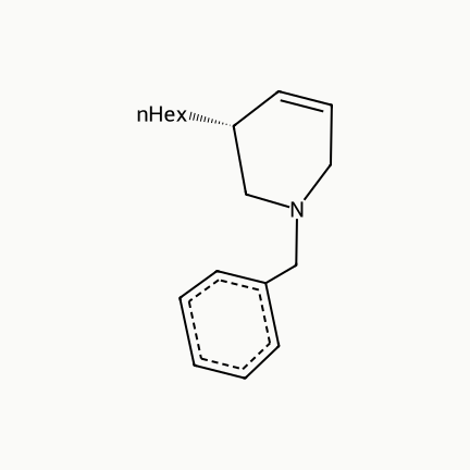 CCCCCC[C@@H]1C=CCN(Cc2ccccc2)C1